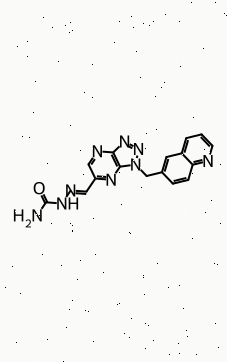 NC(=O)N/N=C/c1cnc2nnn(Cc3ccc4ncccc4c3)c2n1